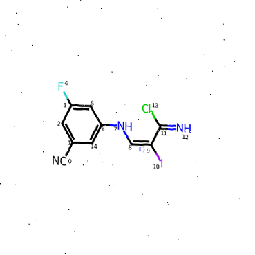 N#Cc1cc(F)cc(N/C=C(/I)C(=N)Cl)c1